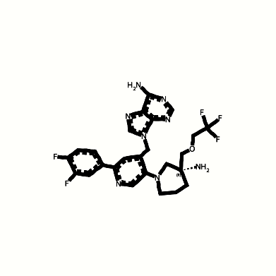 Nc1ncnc2c1ncn2Cc1cc(-c2ccc(F)c(F)c2)ncc1N1CCC[C@](N)(COCC(F)(F)F)C1